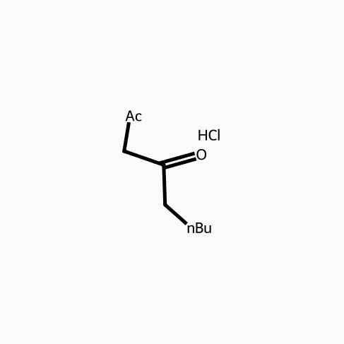 CCCCCC(=O)CC(C)=O.Cl